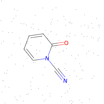 N#Cn1ccccc1=O